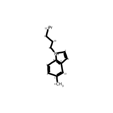 Cc1ccc2c(ccn2CCCC(C)C)c1